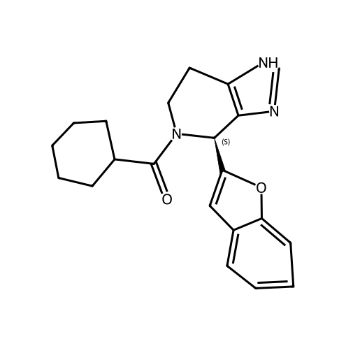 O=C(C1CCCCC1)N1CCc2[nH]cnc2[C@H]1c1cc2ccccc2o1